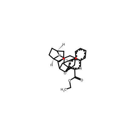 CCOC(=O)c1nc2ccccc2n([C@@H]2C[C@H]3CC[C@@H](C2)N3C23CC4CC(CC(C4)C2)C3)c1=O